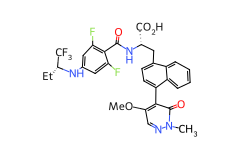 CC[C@@H](Nc1cc(F)c(C(=O)N[C@@H](Cc2ccc(-c3c(OC)cnn(C)c3=O)c3ccccc23)C(=O)O)c(F)c1)C(F)(F)F